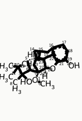 CO[C@]12C[C@@]3(CC1C(C)(O)C(C)(C)C)C1Cc4ccc(O)c5c4C3(CCN1)[C@H]2O5